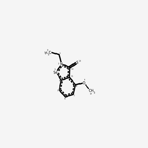 CCn1[se]c2cccc(OC)c2c1=S